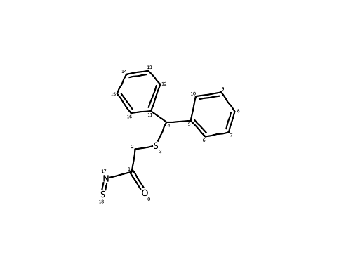 O=C(CSC(c1ccccc1)c1ccccc1)N=S